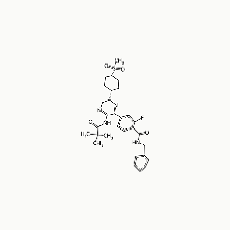 CC(C)(C)C(=O)NC1=NCC([C@H]2CC[C@@H](S(C)(=O)=O)CC2)N=C1c1ccc(C(=O)NCc2ccccc2)c(F)c1